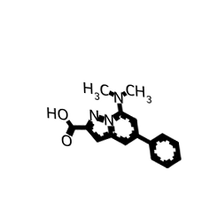 CN(C)c1cc(-c2ccccc2)cc2cc(C(=O)O)nn12